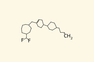 C=CCCC1CCC(C2CC=C(CC3CCCCC(C(F)F)CC3)CC2)CC1